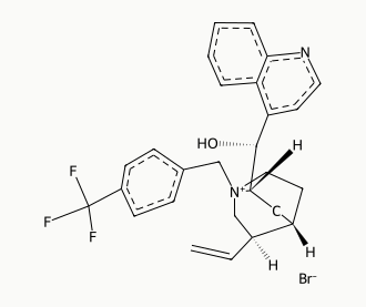 C=C[C@H]1C[N+]2(Cc3ccc(C(F)(F)F)cc3)CC[C@H]1C[C@H]2[C@H](O)c1ccnc2ccccc12.[Br-]